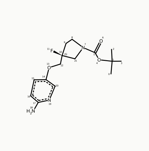 CC(C)(C)OC(=O)N1CC[C@@](F)(COc2ccc(N)nc2)C1